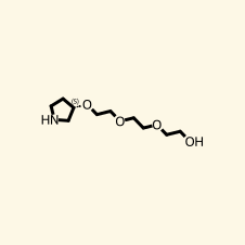 OCCOCCOCCO[C@H]1CCNC1